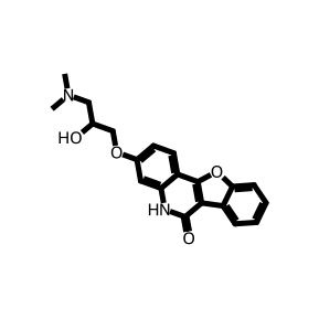 CN(C)CC(O)COc1ccc2c(c1)[nH]c(=O)c1c3ccccc3oc21